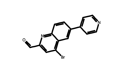 O=Cc1cc(Br)c2cc(-c3ccncc3)ccc2n1